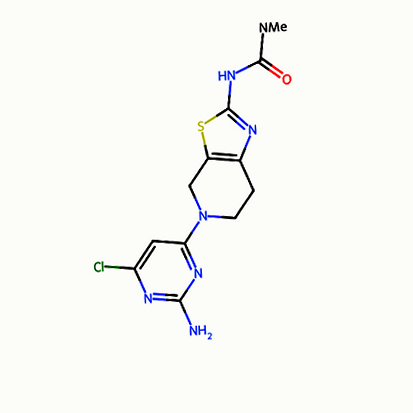 CNC(=O)Nc1nc2c(s1)CN(c1cc(Cl)nc(N)n1)CC2